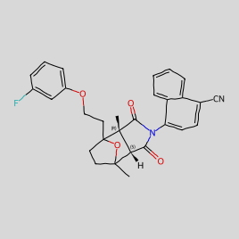 CC12CCC(CCOc3cccc(F)c3)(O1)[C@]1(C)C(=O)N(c3ccc(C#N)c4ccccc34)C(=O)[C@H]21